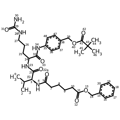 CC(C)[C@H](NC(=O)CCCCC(=O)OCc1ccccc1)C(=O)NC(CCCNC(N)=O)C(=O)Nc1ccc(COC(=O)C(C)(C)C)cc1